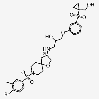 Cc1cc(S(=O)(=O)N2CCC3(CC2)C[C@@H](NCC(O)COc2cccc(S(=O)(=O)C4(CO)CC4)c2)CO3)ccc1Br